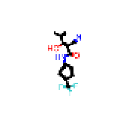 C=C(C)C(O)=C(C#N)C(=O)Nc1ccc(C(F)(F)F)cc1